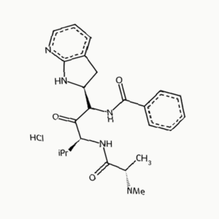 CN[C@@H](C)C(=O)N[C@H](C(=O)C(NC(=O)c1ccccc1)[C@@H]1Cc2cccnc2N1)C(C)C.Cl